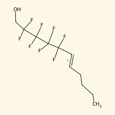 CCCC/C=C/C(F)(F)C(F)(F)C(F)(F)C(F)(F)CO